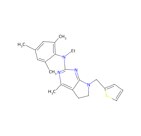 CCN(c1nc(C)c2c(n1)N(Cc1cccs1)CC2)c1c(C)cc(C)cc1C